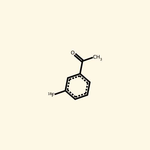 CC(=O)c1cccc([18F])c1